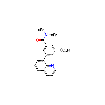 CCCN(CCC)C(=O)c1cc(C(=O)O)cc(-c2cccc3cccnc23)c1